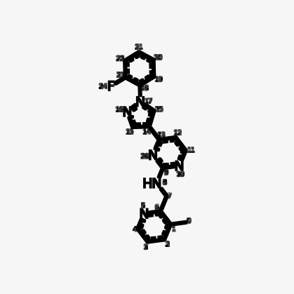 Cc1cccnc1CNc1nccc(-c2cnn(-c3ccccc3F)c2)n1